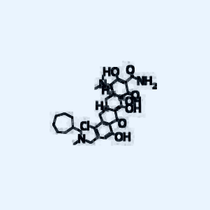 CN(Cc1cc(O)c2c(c1Cl)C[C@H]1C[C@H]3[C@H](N(C)C)C(O)=C(C(N)=O)C(=O)[C@@]3(O)C(O)=C1C2=O)CC1CCCCCC1